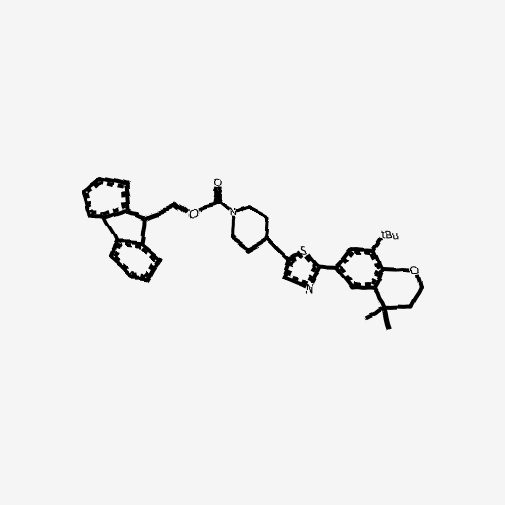 CC(C)(C)c1cc(-c2ncc(C3CCN(C(=O)OCC4c5ccccc5-c5ccccc54)CC3)s2)cc2c1OCCC2(C)C